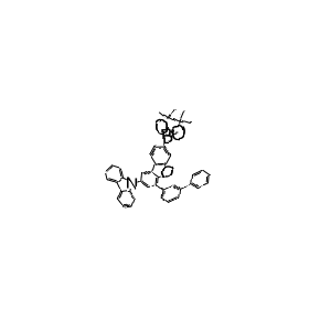 CC1(C)OB(c2ccc3c(c2)oc2c(-c4cccc(-c5ccccc5)c4)cc(-n4c5ccccc5c5ccccc54)cc23)OC1(C)C